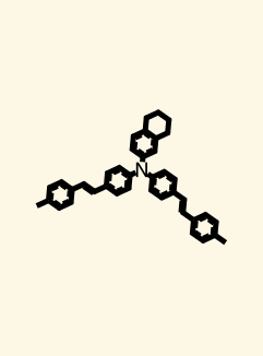 Cc1ccc(C=Cc2ccc(N(c3ccc(C=Cc4ccc(C)cc4)cc3)c3ccc4c(c3)CCCC4)cc2)cc1